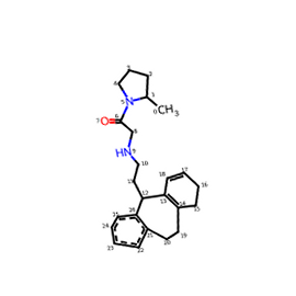 CC1CCCN1C(=O)CNCCC1C2=C(CCC=C2)CCc2ccccc21